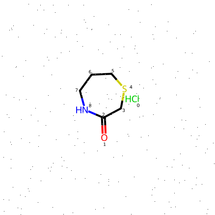 Cl.O=C1CSCCCN1